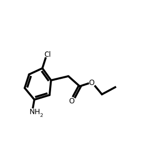 CCOC(=O)Cc1cc(N)ccc1Cl